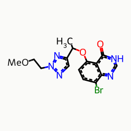 COCCn1ncc(C(C)Oc2ccc(Br)c3nc[nH]c(=O)c23)n1